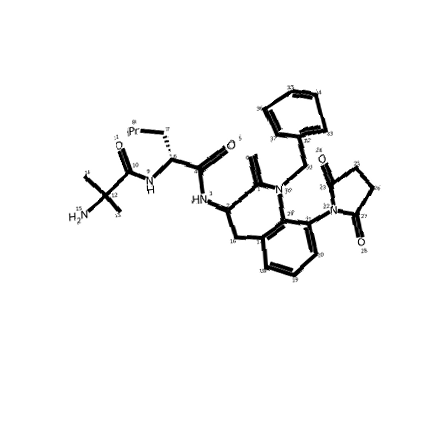 C=C1C(NC(=O)[C@@H](CC(C)C)NC(=O)C(C)(C)N)Cc2cccc(N3C(=O)CCC3=O)c2N1Cc1ccccc1